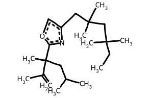 C=C(C)C(C)(CC(C)C)c1nc(CC(C)(C)CC(C)(C)CC)co1